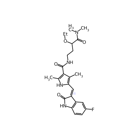 CCOC(CCNC(=O)c1c(C)[nH]c(/C=C2\C(=O)Nc3ccc(F)cc32)c1C)C(=O)N(C)C